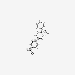 COC1(C2CCCCC2)CCN(c2ccc(C(C)=O)cc2)CC1